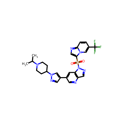 CC(C)N1CCC(n2cc(-c3cnc4cnn(S(=O)(=O)c5cnc6ccc(C(F)(F)F)cn56)c4c3)cn2)CC1